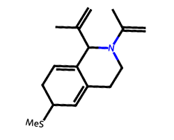 C=C(C)C1C2=CCC(SC)C=C2CCN1C(=C)C